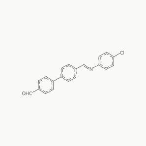 O=Cc1ccc(-c2ccc(C=Nc3ccc(Cl)cc3)cc2)cc1